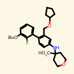 CC(C)COc1cccc(-c2ccc(NC3(C(=O)O)CCOCC3)cc2COC2CCCC2)c1F